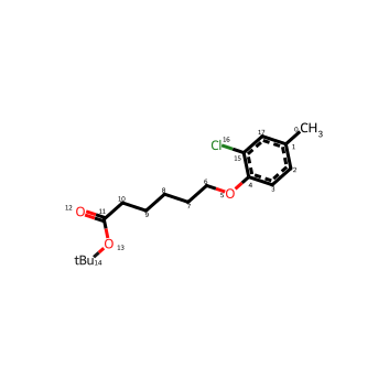 Cc1ccc(OCCCCCC(=O)OC(C)(C)C)c(Cl)c1